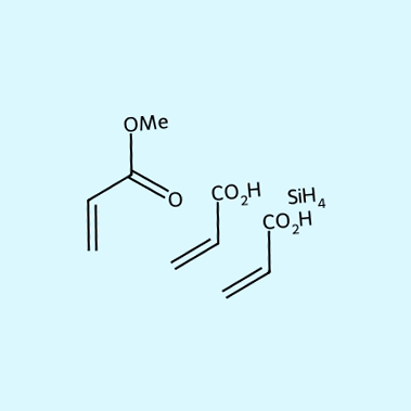 C=CC(=O)O.C=CC(=O)O.C=CC(=O)OC.[SiH4]